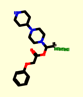 CC(OC(=O)COc1ccccc1)N1CCN(C2CCNCC2)CC1.Cl.Cl.Cl